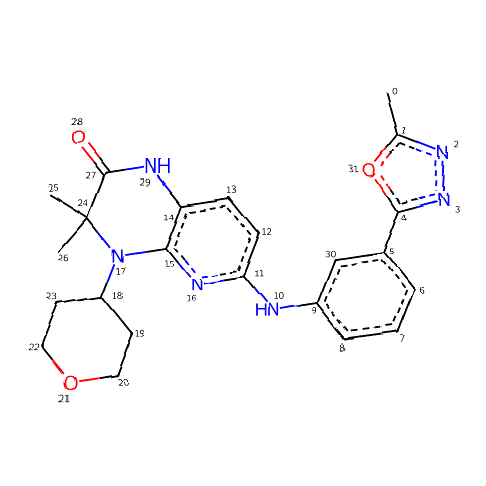 Cc1nnc(-c2cccc(Nc3ccc4c(n3)N(C3CCOCC3)C(C)(C)C(=O)N4)c2)o1